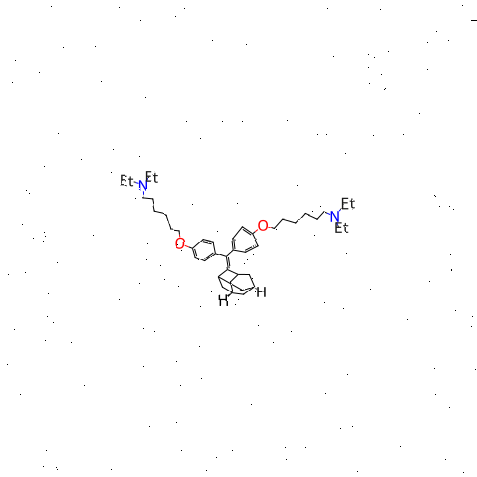 CCN(CC)CCCCCCOc1ccc(C(=C2C3C[C@H]4CC2C[C@@H](C3)C4)c2ccc(OCCCCCCN(CC)CC)cc2)cc1